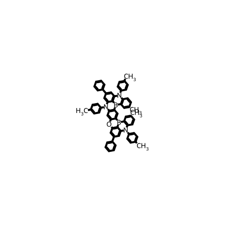 Cc1ccc(N2c3ccc(C)cc3B3c4cc5c(cc4Oc4cc(-c6ccccc6)cc2c43)N(c2ccc(C)cc2)c2cc(-c3ccccc3)cc3c2B5c2cc(C)ccc2N3c2ccc(C)cc2)cc1